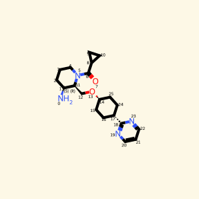 N[C@H]1CCCN(C(=O)C2CC2)[C@H]1CO[C@H]1CC[C@@H](c2ncccn2)CC1